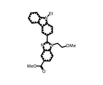 CCn1c2ccccc2c2cc(-c3nc4cc(C(=O)OC)ccc4n3CCOC)ccc21